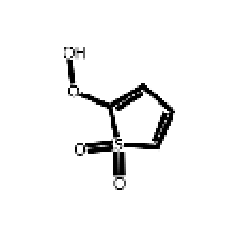 O=S1(=O)C=CC=C1OO